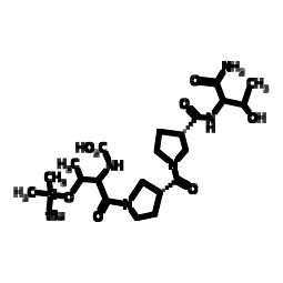 CC(O)C(NC(=O)[C@H]1CCN(C(=O)[C@@H]2CCN(C(=O)C(NC(=O)O)C(C)O[Si](C)(C)C(C)(C)C)C2)C1)C(N)=O